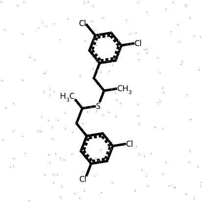 CC(Cc1cc(Cl)cc(Cl)c1)SC(C)Cc1cc(Cl)cc(Cl)c1